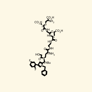 CC(C)(C)[C@H](c1cc(-c2cc(F)ccc2F)cn1Cc1ccccc1)N(CC[C@H](N)C(=O)NCCNC(=O)[C@@H](CCC(=O)O)NC(=O)CNC(=O)[C@H](CC(=O)O)SC[C@H](N)C(=O)O)C(=O)CO